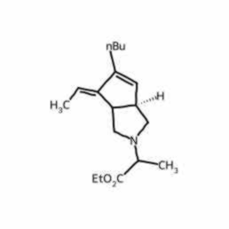 CC=C1C(CCCC)=C[C@H]2CN(C(C)C(=O)OCC)CC12